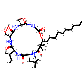 CCCCCCCCCC[C@H]1OC(=O)CNC(=O)[C@H](CO)NC(=O)[C@H](CO)NC(=O)[C@H]([C@H](C)CC)NC(=O)[C@H](CC(C)C)N(C)C(=O)C1(C)C